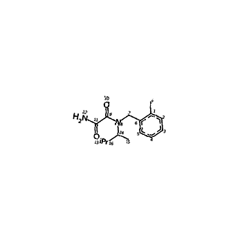 Cc1ccccc1CN(C(=O)C(N)=O)C(C)C(C)C